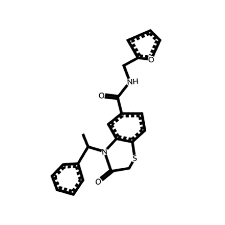 CC(c1ccccc1)N1C(=O)CSc2ccc(C(=O)NCc3ccco3)cc21